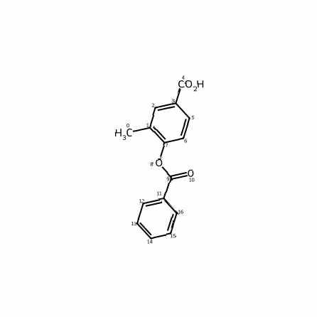 Cc1cc(C(=O)O)ccc1OC(=O)c1ccccc1